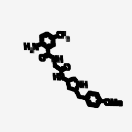 COc1ccc(CC2CC(NC(=O)CNC(=O)c3cc(C(F)(F)F)ccc3N)CN2)cc1